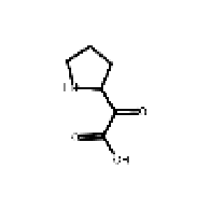 O=C(O)C(=O)C1CCCN1